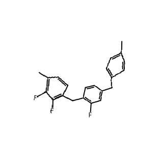 Cc1ccc(Cc2ccc(Cc3ccc(C)c(F)c3F)c(F)c2)cc1